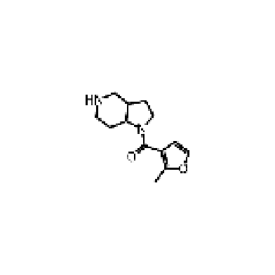 Cc1occc1C(=O)N1CCC2CNCCC21